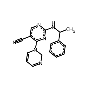 CC(Nc1ncc(C#N)c(N2C=CC=NC2)n1)c1ccccc1